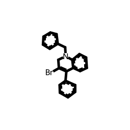 BrC1=C(c2ccccc2)c2ccccc2N(Cc2ccccc2)C1